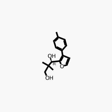 Cc1ccc(-c2ccoc2[C@H](O)C(C)(C)CO)cc1